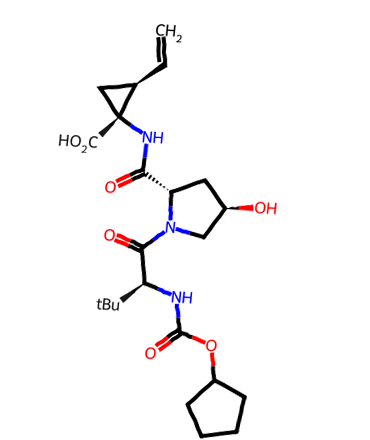 C=C[C@@H]1C[C@]1(NC(=O)[C@@H]1C[C@@H](O)CN1C(=O)[C@@H](NC(=O)OC1CCCC1)C(C)(C)C)C(=O)O